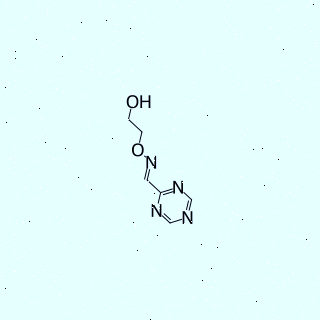 OCCON=Cc1ncncn1